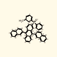 CC1C=CC=C(P(=O)(c2ccccc2)c2ccc3c(-c4ccc5ccccc5c4)c4ccccc4c(-c4ccc5ccccc5c4)c3c2)C1